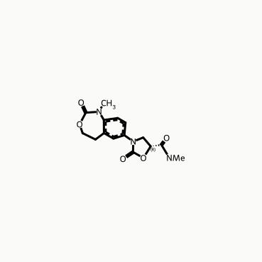 CNC(=O)[C@H]1CN(c2ccc3c(c2)CCOC(=O)N3C)C(=O)O1